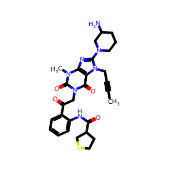 CC#CCn1c(N2CCCC(N)C2)nc2c1c(=O)n(CC(=O)c1ccccc1NC(=O)C1CCSC1)c(=O)n2C